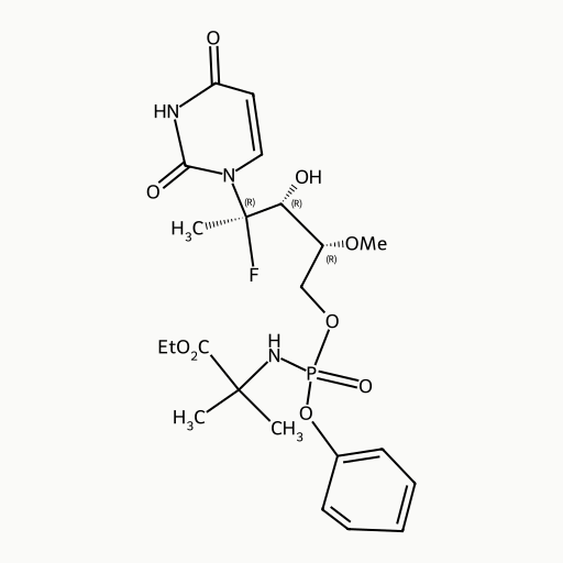 CCOC(=O)C(C)(C)NP(=O)(OC[C@@H](OC)[C@@H](O)[C@@](C)(F)n1ccc(=O)[nH]c1=O)Oc1ccccc1